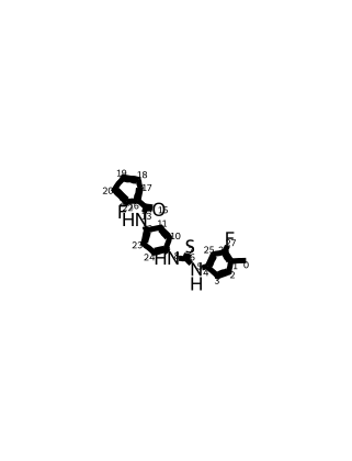 Cc1ccc(NC(=S)Nc2ccc(NC(=O)c3ccccc3F)cc2)cc1F